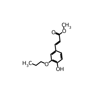 CCCOc1cc(C=CC(=O)OC)ccc1O